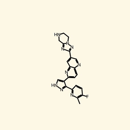 Cc1nc(-c2n[nH]cc2-c2ccc3ncc(-c4nc5n(n4)CCNC5)cc3n2)ccc1F